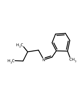 CCC(C)C/N=C\c1ccccc1C